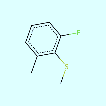 CSc1c(C)cccc1F